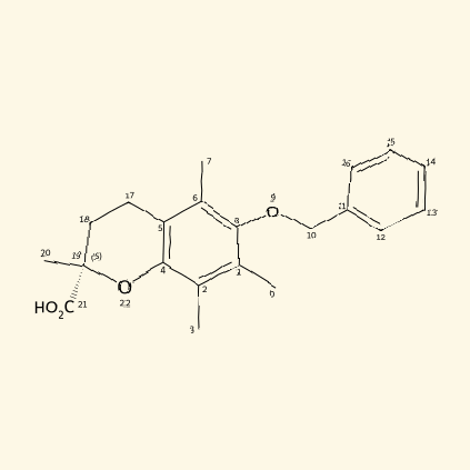 Cc1c(C)c2c(c(C)c1OCc1ccccc1)CC[C@@](C)(C(=O)O)O2